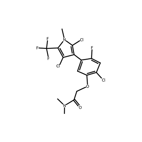 CN(C)C(=O)COc1cc(-c2c(Cl)c(C(F)(F)F)n(C)c2Cl)c(F)cc1Cl